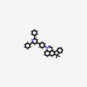 CC1(C)c2ccccc2-c2c1cc1cccc3c1c2C=CN3c1ccc(-c2cc(-c3ccccc3)nc(-c3ccccc3)c2)cc1